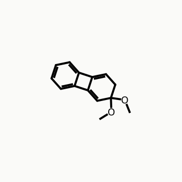 COC1(OC)C=C2C(=CC1)c1ccccc12